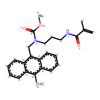 C=C(C)C(=O)NCCCN(Cc1c2ccccc2c(C=O)c2ccccc12)C(=O)OC(C)(C)C